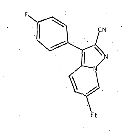 CCc1ccc2c(-c3ccc(F)cc3)c(C#N)nn2c1